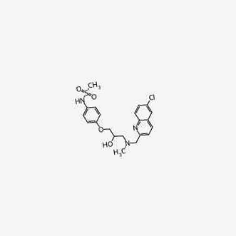 CN(Cc1ccc2cc(Cl)ccc2n1)CC(O)COc1ccc(NS(C)(=O)=O)cc1